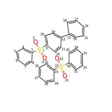 O=S(=O)(c1ccccc1)c1ccc(-c2ccccc2)cc1.O=S(=O)(c1ccccc1)c1ccccc1